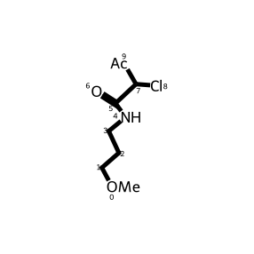 COCCCNC(=O)C(Cl)C(C)=O